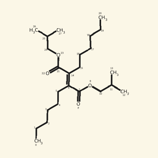 CCCCCCC(C(=O)OCC(C)C)=C(CCCCCC)C(=O)OCC(C)C